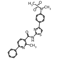 Cc1nc(-c2ccccc2)ccc1C(=O)Nc1nc(-c2ccc(N(C)S(C)(=O)=O)cc2)cs1